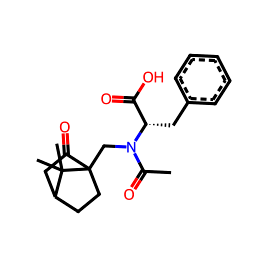 CC(=O)N(CC12CCC(CC1=O)C2(C)C)[C@@H](Cc1ccccc1)C(=O)O